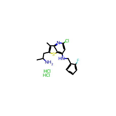 Cc1c(CC(C)N)sc2c(NCc3ccccc3F)cc(Cl)nc12.Cl.Cl